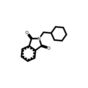 O=C1c2ccccc2C(=O)N1CC1CCCCC1